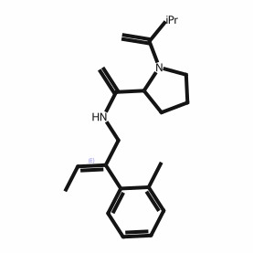 C=C(NC/C(=C/C)c1ccccc1C)C1CCCN1C(=C)C(C)C